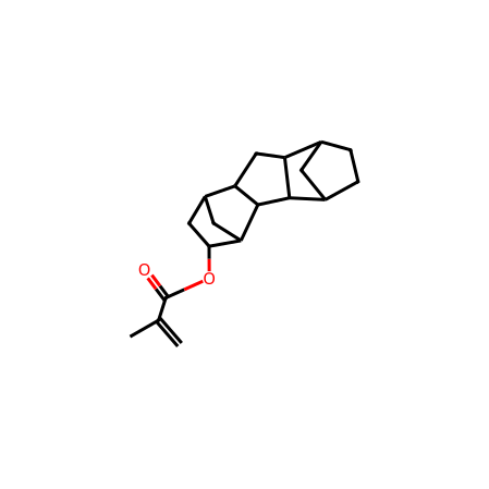 C=C(C)C(=O)OC1CC2CC1C1C2CC2C3CCC(C3)C21